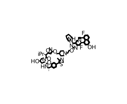 C#Cc1c(F)ccc2cc(O)cc(-c3ncc4c(N5CC6CCC(C5)N6)nc(OCCN5CCC(COc6cc([C@@H](C(=O)N7C[C@H](O)C[C@H]7C(=O)N[C@@H](C)c7ccc(-c8scnc8C)cc7)C(C)C)on6)CC5)nc4c3F)c12